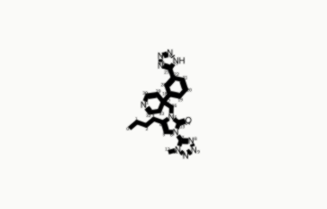 CCCCc1cn(-c2nnnn2C)c(=O)n1CC1(c2cccc(-c3nnn[nH]3)c2)C=CN=CC1